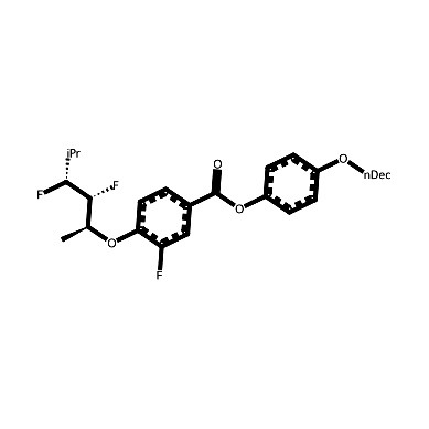 CCCCCCCCCCOc1ccc(OC(=O)c2ccc(O[C@@H](C)[C@@H](F)[C@H](F)C(C)C)c(F)c2)cc1